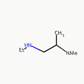 CCNCC(C)NC